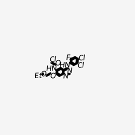 CCOCCOc1cc2ncnc(Nc3cc(Cl)c(Cl)cc3F)c2cc1NC(=O)CCl